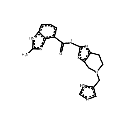 Nc1nc2c(C(=O)Nc3nc4c(s3)CN(Cc3cnc[nH]3)CC4)cccc2[nH]1